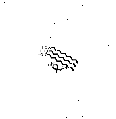 C=CCCCCCCCCC(=O)O.C=CCCCCCCCCC(=O)O.C=CCCCCCCCCC(=O)O.CC(CO)(CO)CO